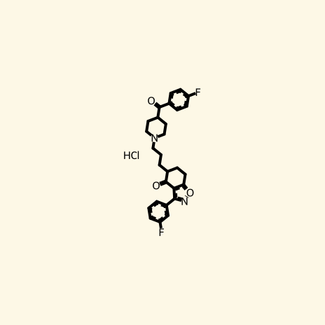 Cl.O=C(c1ccc(F)cc1)C1CCN(CCCC2CCc3onc(-c4cccc(F)c4)c3C2=O)CC1